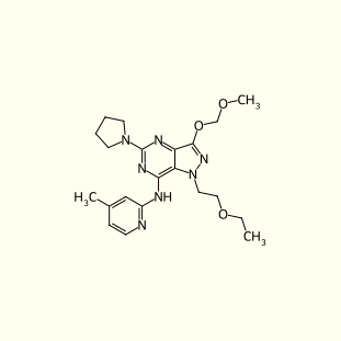 CCOCCn1nc(OCOC)c2nc(N3CCCC3)nc(Nc3cc(C)ccn3)c21